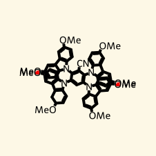 COc1ccc2c(c1)c1c(n2-c2cc(-n3c4ccc(OC)cc4c4cc(OC)ccc43)c(-n3c4ccc(OC)cc4c4cc(OC)ccc43)c(C#N)c2-n2c3ccc(OC)cc3c3cc(OC)ccc32)C=CC(OC)C1